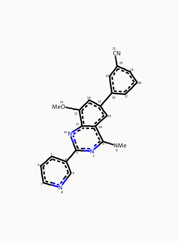 CNc1nc(-c2cccnc2)nc2c(OC)cc(-c3cccc(C#N)c3)cc12